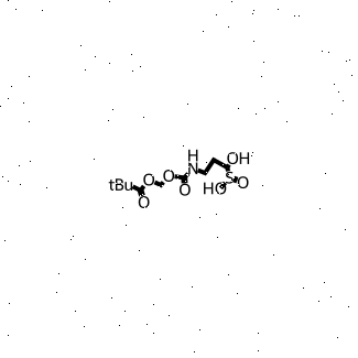 CC(C)(C)C(=O)OCOC(=O)NCCC(O)S(=O)O